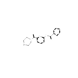 CN1CCN(C(=O)c2cccc(NC(=O)c3ccccc3)n2)CC1